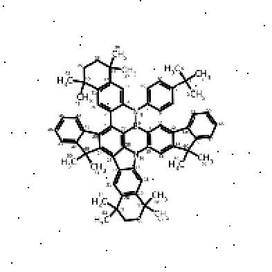 CC(C)(C)c1ccc(N2B3c4cc5c(cc4-n4c6cc7c(cc6c6c8c(c(c3c64)-c3cc4c(cc32)C(C)(C)CCC4(C)C)-c2ccccc2C8(C)C)C(C)(C)CCC7(C)C)C(C)(C)c2ccccc2-5)cc1